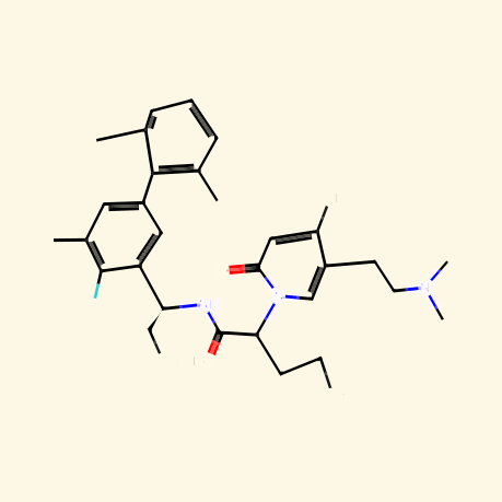 Cc1cc(-c2c(C)cccc2C)cc([C@H](CC(=O)O)NC(=O)C(CCC(C)C)n2cc(CCN(C)C)c(C(F)(F)F)cc2=O)c1F